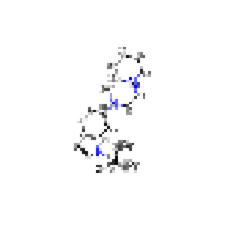 CC(C)[Si](C(C)C)(C(C)C)n1ccc2ccc(N3CCN4CCCCC4C3)cc21